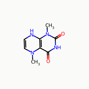 CN1C=CNc2c1c(=O)[nH]c(=O)n2C